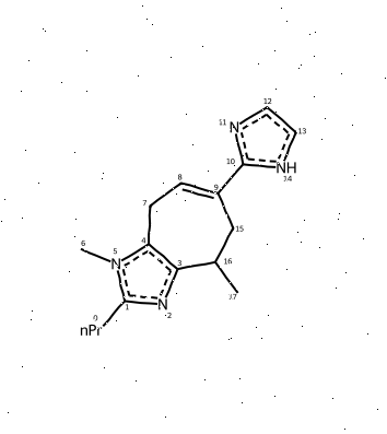 CCCc1nc2c(n1C)CC=C(c1ncc[nH]1)CC2C